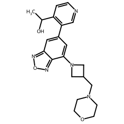 CC(O)c1ccncc1-c1cc(N2CC(CN3CCOCC3)C2)c2nonc2c1